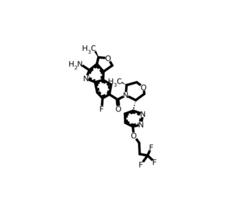 C[C@@H]1COC[C@H](c2ccc(OCCC(F)(F)F)nn2)N1C(=O)c1cc2c3c(c(N)nc2cc1F)[C@@H](C)OC3